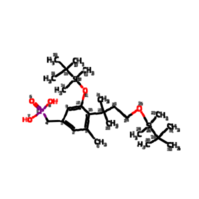 Cc1cc(CP(=O)(O)O)cc(O[Si](C)(C)C(C)(C)C)c1C(C)(C)CCO[Si](C)(C)C(C)(C)C